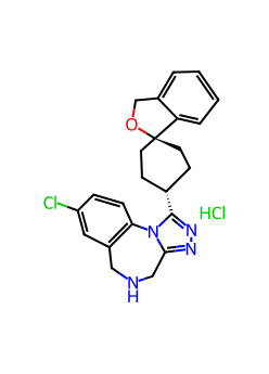 Cl.Clc1ccc2c(c1)CNCc1nnc([C@H]3CC[C@@]4(CC3)OCc3ccccc34)n1-2